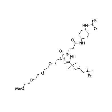 CCCC(=O)NC1CCC(NC(=O)CC[C@H](NC(=O)C(C)(C)COCC(C)(C)CC)C(=O)NCCOCCOCCOCCOC)CC1